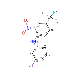 O=[N+]([O-])c1cc(C(F)(F)F)ccc1Nc1cccc(I)c1